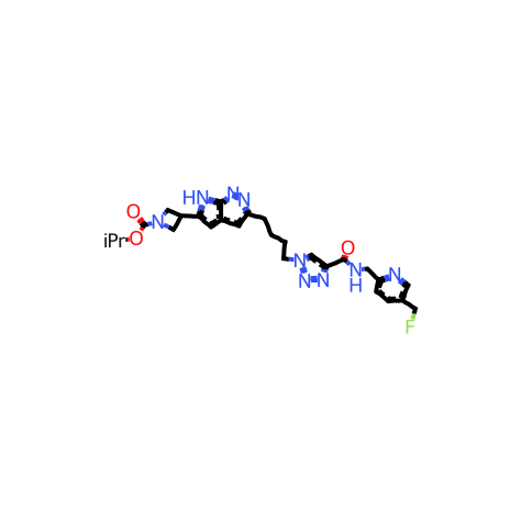 CC(C)OC(=O)N1CC(c2cc3cc(CCCCn4cc(C(=O)NCc5ccc(CF)cn5)nn4)nnc3[nH]2)C1